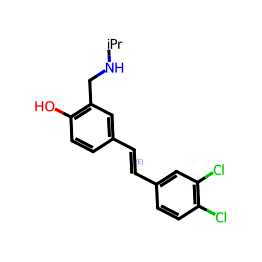 CC(C)NCc1cc(/C=C/c2ccc(Cl)c(Cl)c2)ccc1O